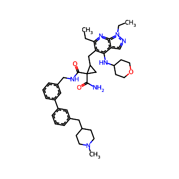 CCc1nc2c(cnn2CC)c(NC2CCOCC2)c1CC1CC1(C(N)=O)C(=O)NCc1cccc(-c2cccc(CC3CCN(C)CC3)c2)c1